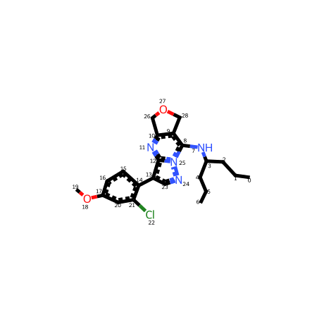 CCCC(CCC)Nc1c2c(nc3c(-c4ccc(OC)cc4Cl)cnn13)COC2